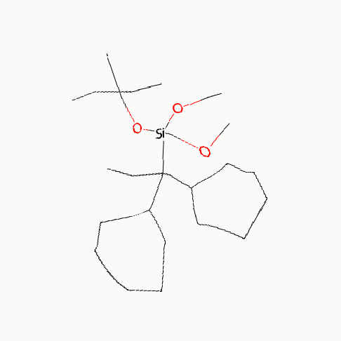 CO[Si](OC)(OC(C)(C)C)C(C)(C1CCCCC1)C1CCCCC1